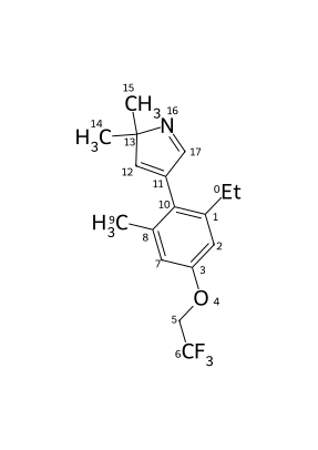 CCc1cc(OCC(F)(F)F)cc(C)c1C1=CC(C)(C)N=C1